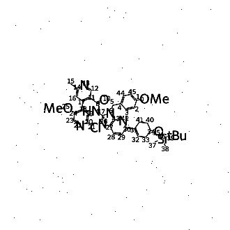 COc1ccc(Cn2c(NC(=O)c3cnc(C)cc3-c3cc(Cl)ncc3OC)nc3ccc(C4=CCC(O[Si](C)(C)C(C)(C)C)CC4)nc32)cc1